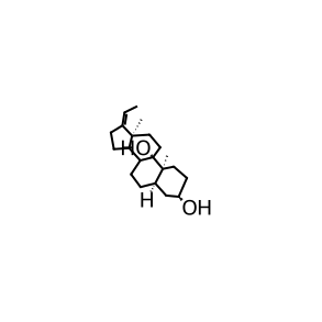 C/C=C1/CCC2C3CC[C@@H]4C[C@H](O)CC[C@]4(C)[C@@]3(O)CC[C@]12C